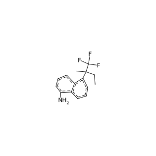 CCC(C)(c1cccc2c(N)cccc12)C(F)(F)F